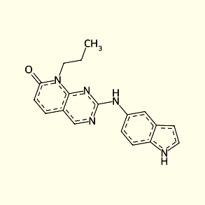 CCCn1c(=O)ccc2cnc(Nc3ccc4[nH]ccc4c3)nc21